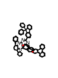 c1ccc(-c2nc(-c3ccc4c(c3)C(c3ccccc3)(c3ccccc3)c3ccccc3-4)nc(-n3c4ccccc4c4ccc5c6ccccc6n(-c6cccc(-c7ccc8c9ccccc9c9ccccc9c8c7)c6)c5c43)n2)cc1